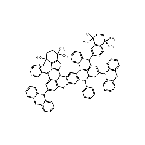 CC1(C)CCC(C)(C)c2cc(N3c4ccccc4B4c5cc6c(cc5N(c5ccccc5)c5cc(N7c8ccccc8Sc8ccccc87)cc3c54)Oc3cc(N4c5ccccc5Sc5ccccc54)cc4c3B6c3sc5c(c3N4c3ccccc3)C(C)(C)CCC5(C)C)ccc21